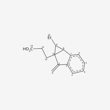 C=C1c2ccccc2C2C(CC)C12CCC(=O)O